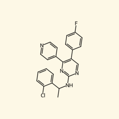 CC(Nc1ncc(-c2ccc(F)cc2)c(-c2ccncc2)n1)c1ccccc1Cl